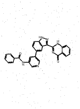 O=C(Nc1cncc(-c2ccc3[nH]nc(-c4nc(=O)c5ccccc5[nH]4)c3c2)c1)c1ccccc1